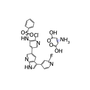 N.O=C(O)/C=C\C(=O)O.O=S(=O)(Nc1cc(-c2cnc3[nH]cc(-c4ccnc(F)c4)c3c2)cnc1Cl)c1ccccc1